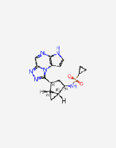 O=S(=O)(N[C@@H]1C[C@H](c2nnc3cnc4[nH]ccc4n23)[C@H]2C[C@H]21)C1CC1